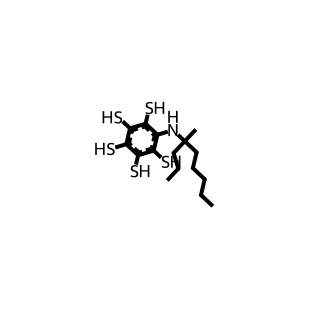 CCCCCC(C)(CCC)Nc1c(S)c(S)c(S)c(S)c1S